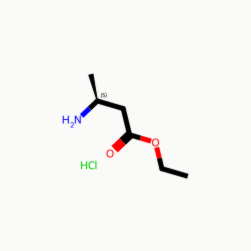 CCOC(=O)C[C@H](C)N.Cl